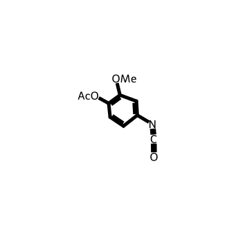 COc1cc(N=C=O)ccc1OC(C)=O